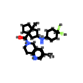 O=C(N1CCc2ncc(C(F)(F)F)cc2C1)[C@@]12CCC[C@@H]1C[C@@H](NC1CCC(F)(F)CC1)C2